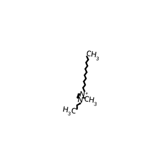 CCCCCCCCCCCCC[n+]1ccn(CCCC)c1C